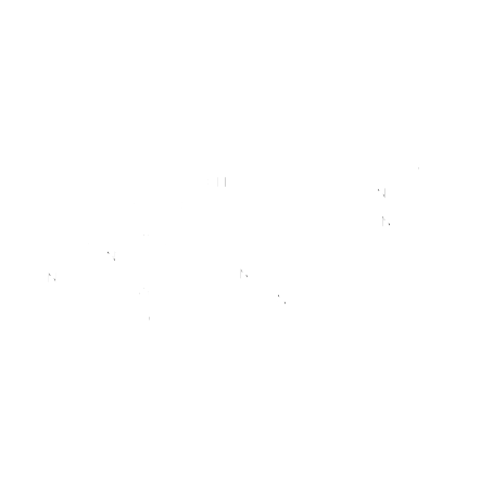 CCn1cc(-c2ccc3c(c2)ncn3-c2cc(OC)c(C(=O)NCC#N)c(OC)c2)cn1